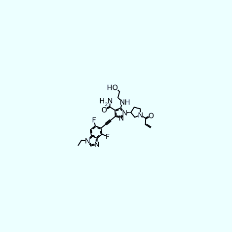 C=CC(=O)N1CC[C@H](n2nc(C#Cc3c(F)cc4c(ncn4CC)c3F)c(C(N)=O)c2NCCO)C1